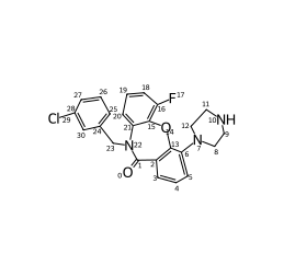 O=C1c2cccc(N3CCNCC3)c2Oc2c(F)cccc2N1Cc1cccc(Cl)c1